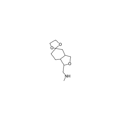 CNCC1OCC2CC3(CCC21)OCCO3